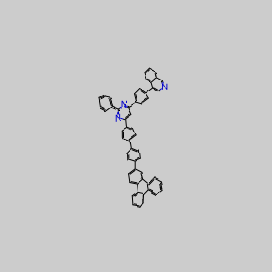 c1ccc(-c2nc(-c3ccc(-c4ccc(-c5ccc6c7ccccc7c7ccccc7c6c5)cc4)cc3)cc(-c3ccc(-c4cncc5ccccc45)cc3)n2)cc1